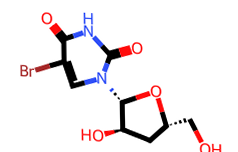 O=c1[nH]c(=O)n([C@@H]2O[C@H](CO)C[C@H]2O)cc1Br